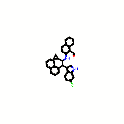 O=Cc1c(NC(C2CC2)C(c2cccc3ccccc23)c2c[nH]c3cc(Cl)ccc23)ccc2ccccc12